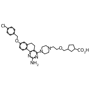 Nc1nc2c(c(N3CCN(CCOCC4CCC(C(=O)O)C4)CC3)n1)CCc1cc(OCc3ccc(Cl)cc3)ccc1-2